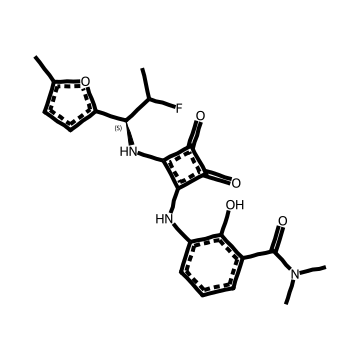 Cc1ccc([C@H](Nc2c(Nc3cccc(C(=O)N(C)C)c3O)c(=O)c2=O)C(C)F)o1